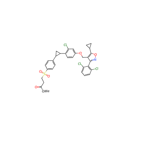 COC(=O)CCS(=O)(=O)c1ccc(C2CC2c2ccc(OCc3c(-c4c(Cl)cccc4Cl)noc3C3CC3)cc2Cl)cc1